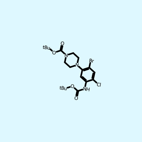 CC(C)(C)OC(=O)Nc1cc(N2CCN(C(=O)OC(C)(C)C)CC2)c(Br)cc1Cl